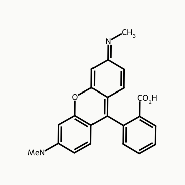 C/N=c1\ccc2c(-c3ccccc3C(=O)O)c3ccc(NC)cc3oc-2c1